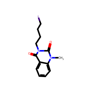 Cn1c(=O)n(CCCCI)c(=O)c2ccccc21